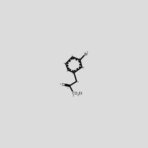 CCOC(=O)C(=O)Cc1cccc(Br)c1